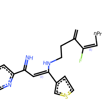 C=C(CCN/C(=C\C(=N)c1ccccn1)c1ccsc1)/C(F)=C\CCC